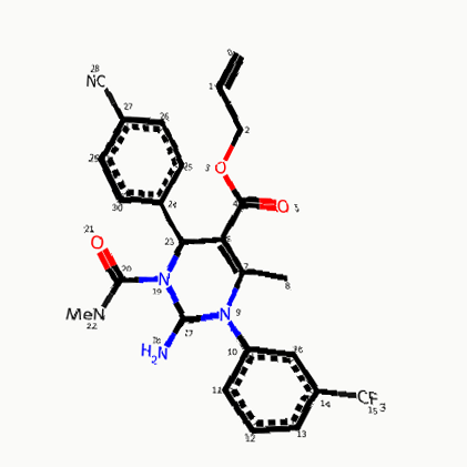 C=CCOC(=O)C1=C(C)N(c2cccc(C(F)(F)F)c2)C(N)N(C(=O)NC)C1c1ccc(C#N)cc1